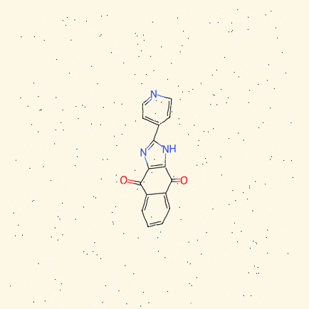 O=C1c2ccccc2C(=O)c2[nH]c(-c3ccncc3)nc21